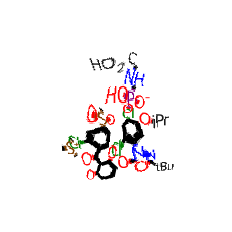 CC(C)Oc1cc(-n2nc(C(C)(C)C)oc2=O)c(Cl)cc1Cl.CS(=O)(=O)c1ccc(C(=O)C2C(=O)CCCC2=O)c(Cl)c1.C[S+](C)C.O=C(O)CNCP(=O)([O-])O